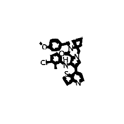 COc1ccc(CN2C(=O)c3c(Nc4cccc(Cl)c4C)c(-c4ccnc5ccsc45)cn3CC23CCC3)cc1